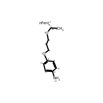 CCCCC[C@H](C)OCCCOc1ccc(N)cc1